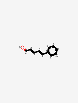 O=C/C=C/C=C/c1ccccc1